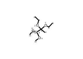 CCOC(C)(OCC)[SiH](OC)OC